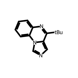 CC(C)(C)c1nc2ccccc2n2cncc12